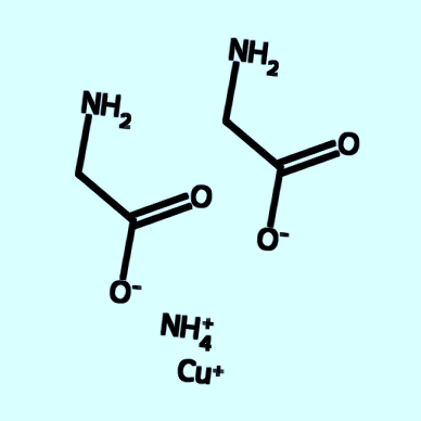 NCC(=O)[O-].NCC(=O)[O-].[Cu+].[NH4+]